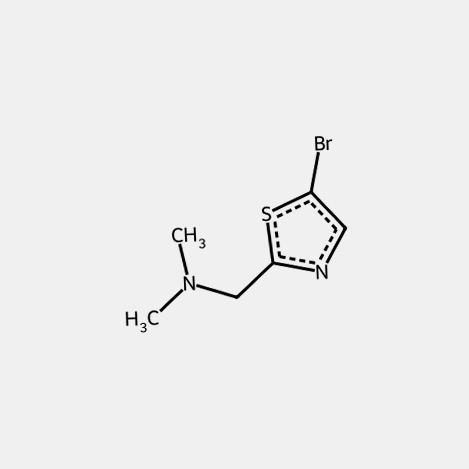 CN(C)Cc1ncc(Br)s1